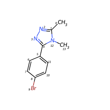 Cc1nnc(-c2ccc(Br)cc2)n1C